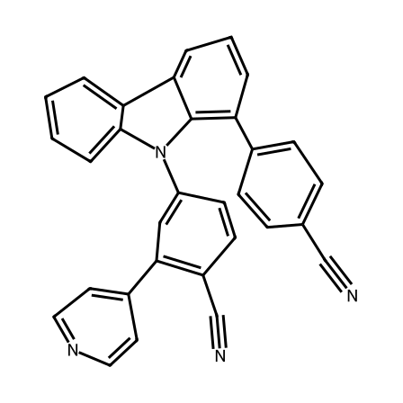 N#Cc1ccc(-c2cccc3c4ccccc4n(-c4ccc(C#N)c(-c5ccncc5)c4)c23)cc1